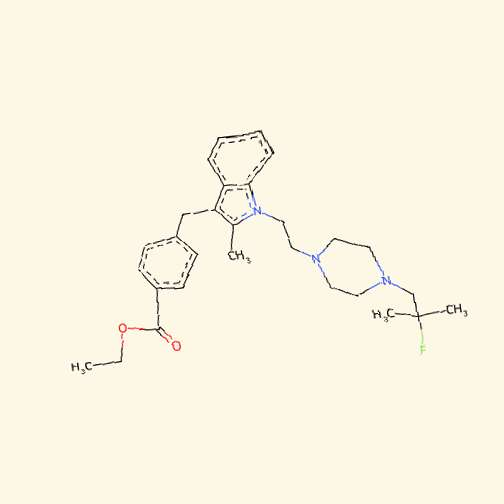 CCOC(=O)c1ccc(Cc2c(C)n(CCN3CCN(CC(C)(C)F)CC3)c3ccccc23)cc1